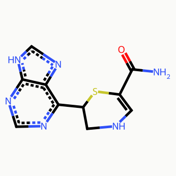 NC(=O)C1=CNCC(c2ncnc3[nH]cnc23)S1